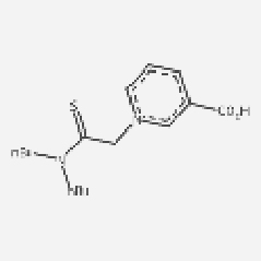 CCCCN(CCCC)C(=S)C[n+]1cccc(C(=O)O)c1